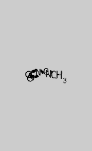 C/C=N/OCCN1CCS(=O)(=O)CC1